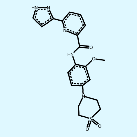 COc1cc(N2CCS(=O)(=O)CC2)ccc1NC(=O)c1cccc(-c2cc[nH]n2)n1